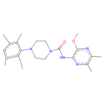 COc1nc(C)c(C)nc1NC(=O)N1CCN(c2c(C)c(C)cc(C)c2C)CC1